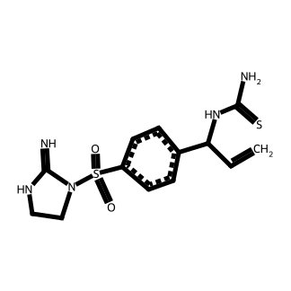 C=CC(NC(N)=S)c1ccc(S(=O)(=O)N2CCNC2=N)cc1